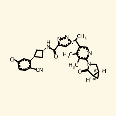 Cc1c(C(C)n2cc(C(=O)N[C@H]3C[C@@H](c4cc(Cl)ccc4C#N)C3)nn2)cnc(N2C[C@H]3C[C@H]3C2=O)c1C